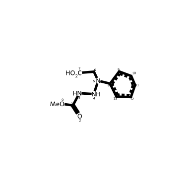 COC(=O)NNN(CC(=O)O)c1ccccc1